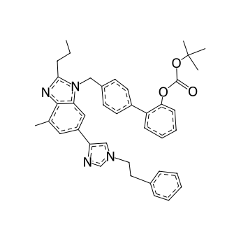 CCCc1nc2c(C)cc(-c3cn(CCc4ccccc4)cn3)cc2n1Cc1ccc(-c2ccccc2OC(=O)OC(C)(C)C)cc1